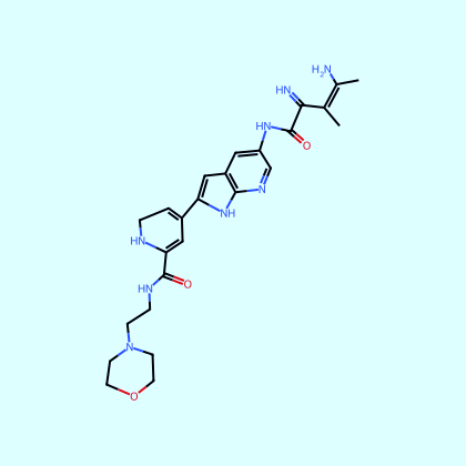 C/C(N)=C(\C)C(=N)C(=O)Nc1cnc2[nH]c(C3=CCNC(C(=O)NCCN4CCOCC4)=C3)cc2c1